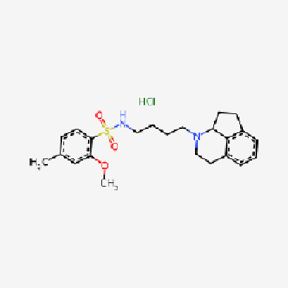 COc1cc(C)ccc1S(=O)(=O)NCCCCN1CCc2cccc3c2C1CC3.Cl